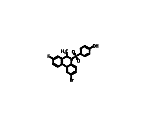 CC1c2cc(F)ccc2-c2cc(Br)ccc2N1S(=O)(=O)c1ccc(O)cc1